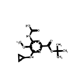 COc1c(NC(=O)O)nc(C(=O)OC(C)(C)C)nc1NC1CC1